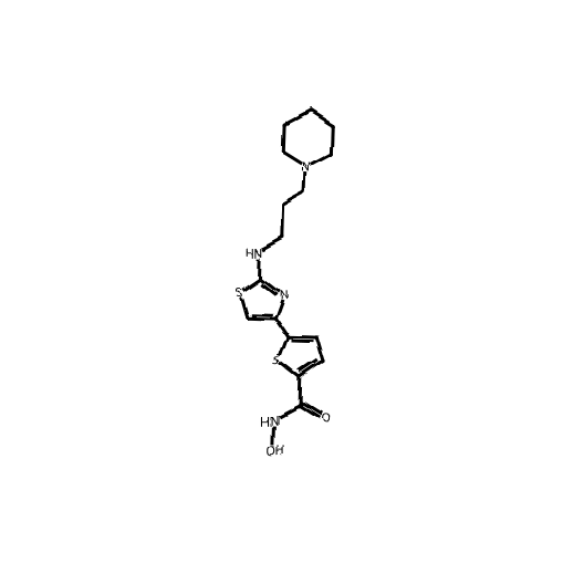 O=C(NO)c1ccc(-c2csc(NCCCN3CCCCC3)n2)s1